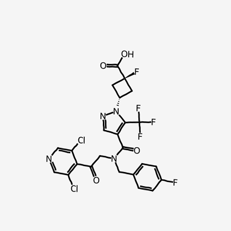 O=C(CN(Cc1ccc(F)cc1)C(=O)c1cnn([C@H]2C[C@@](F)(C(=O)O)C2)c1C(F)(F)F)c1c(Cl)cncc1Cl